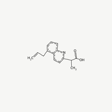 C=CCc1cccc2nc(C(C)C(=O)O)ccc12